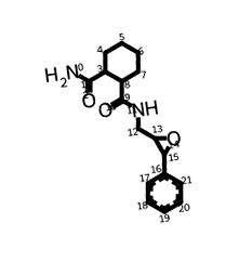 NC(=O)C1CCCCC1C(=O)NCC1OC1c1ccccc1